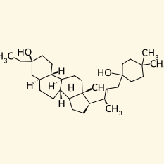 CC[C@]1(O)CC[C@H]2[C@@H](CC[C@@H]3[C@@H]2CC[C@]2(C)[C@@H]([C@H](C)CCC4(O)CCC(C)(C)CC4)CC[C@@H]32)C1